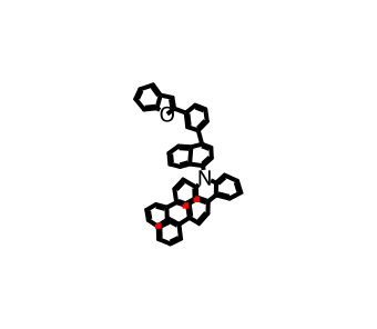 c1ccc(-c2ccc(-c3ccccc3N(c3ccc(-c4ccccc4)cc3)c3ccc(-c4cccc(-c5cc6ccccc6o5)c4)c4ccccc34)cc2)cc1